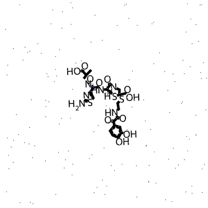 CC(C)(O/N=C(\C(=O)NC1C(=O)N2CC(SCCNC(=O)C(=O)c3ccc(O)c(O)c3)(C(=O)O)S[C@H]12)c1csc(N)n1)C(=O)O